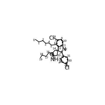 CCCCCCc1c(Cl)ccc2c1C(CCCCCC)(CC(N)=O)C(c1ccc(Cl)cc1)=N2